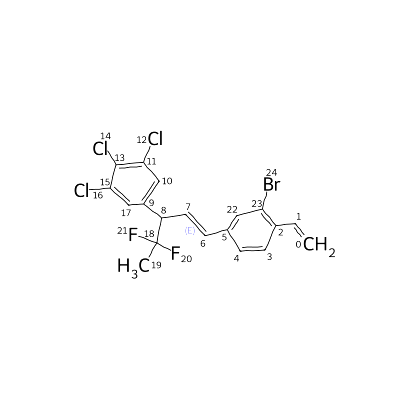 C=Cc1ccc(/C=C/C(c2cc(Cl)c(Cl)c(Cl)c2)C(C)(F)F)cc1Br